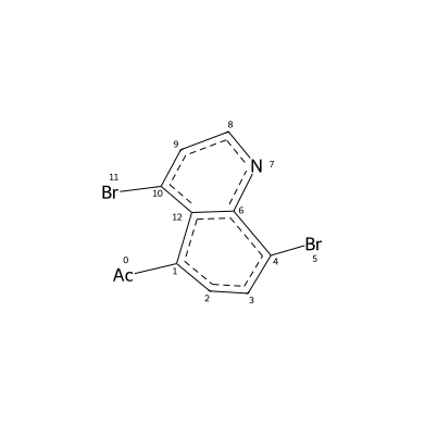 CC(=O)c1ccc(Br)c2nccc(Br)c12